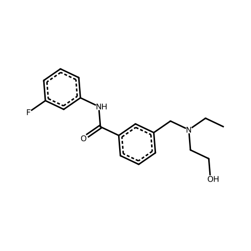 CCN(CCO)Cc1cccc(C(=O)Nc2cccc(F)c2)c1